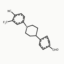 N#Cc1ccc(N2CCC(c3ccc(C=O)cc3)CC2)cc1C(F)(F)F